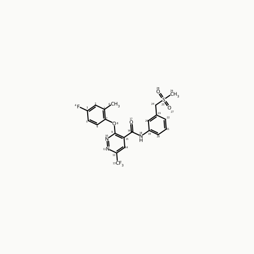 Cc1cc(F)ccc1Oc1nnc(C(F)(F)F)cc1C(=O)Nc1cccc(CS(C)(=O)=O)c1